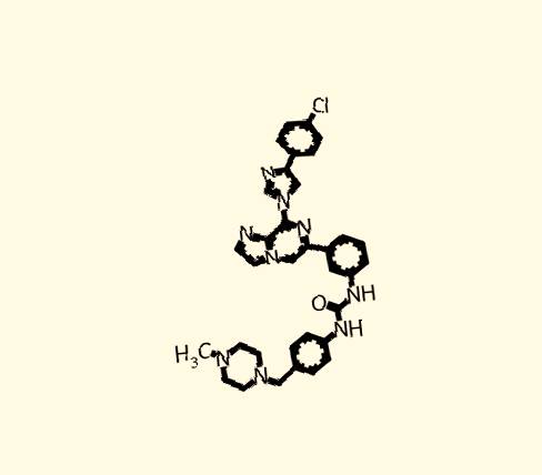 CN1CCN(Cc2ccc(NC(=O)Nc3cccc(-c4cn5ccnc5c(-n5cnc(-c6ccc(Cl)cc6)c5)n4)c3)cc2)CC1